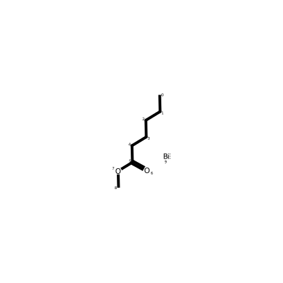 CCCCCC(=O)OC.[Bi]